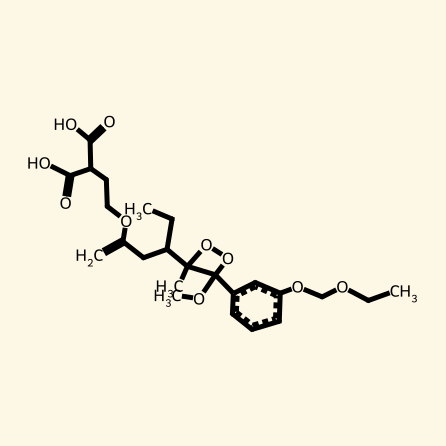 C=C(CC(CC)C1(C)OOC1(OC)c1cccc(OCOCC)c1)OCCC(C(=O)O)C(=O)O